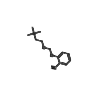 C[Si](C)(C)CCOCOc1ccccc1C#N